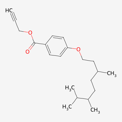 C#CCOC(=O)c1ccc(OCCC(C)CCC(C)C(C)C)cc1